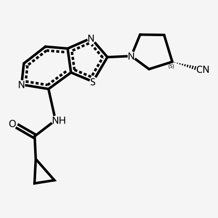 N#C[C@H]1CCN(c2nc3ccnc(NC(=O)C4CC4)c3s2)C1